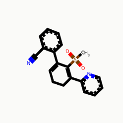 CS(=O)(=O)C1=C(c2ccccn2)C[CH]C=C1c1ccccc1C#N